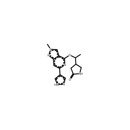 CC(Oc1nc(-c2cn[nH]c2)cc2nn(C)cc12)C1CNC(=O)C1